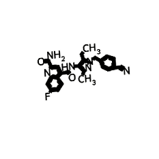 CCc1c(NC(=O)c2cc(C(N)=O)nc3cc(F)ccc23)c(C)nn1Cc1ccc(C#N)cc1